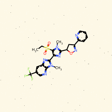 CCS(=O)(=O)c1c(-c2nc3cc(C(F)(F)F)cnc3n2C)nc(C2CC(c3ccccn3)=NO2)n1C